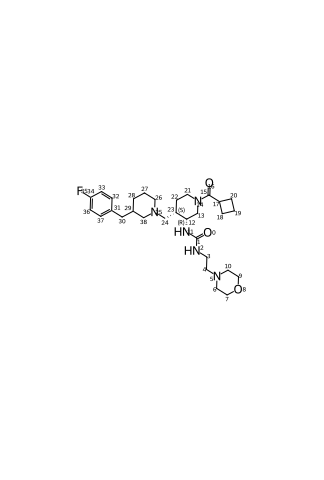 O=C(NCCN1CCOCC1)N[C@H]1CN(C(=O)C2CCC2)CC[C@H]1CN1CCCC(Cc2ccc(F)cc2)C1